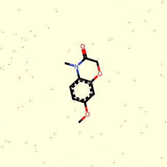 COc1ccc2c(c1)OCC(=O)N2C